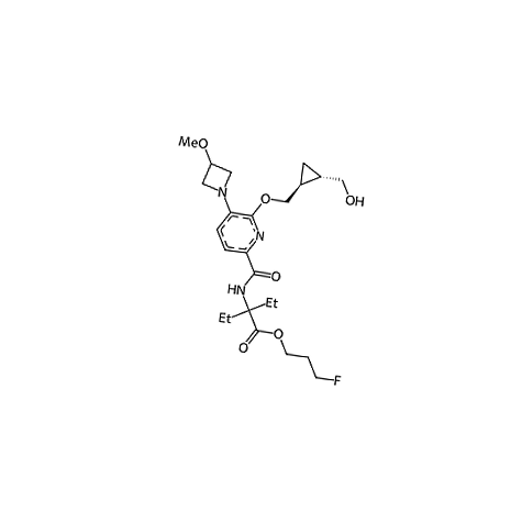 CCC(CC)(NC(=O)c1ccc(N2CC(OC)C2)c(OC[C@H]2C[C@@H]2CO)n1)C(=O)OCCCF